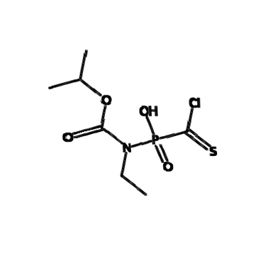 CCN(C(=O)OC(C)C)P(=O)(O)C(=S)Cl